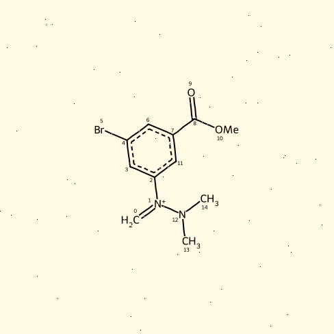 C=[N+](c1cc(Br)cc(C(=O)OC)c1)N(C)C